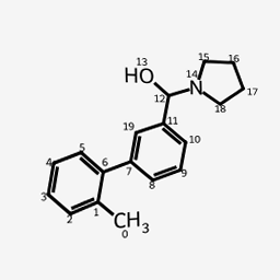 Cc1ccccc1-c1cccc(C(O)N2CCCC2)c1